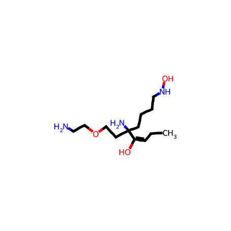 CC/C=C(/O)C(N)(CCCCNO)CCOCCN